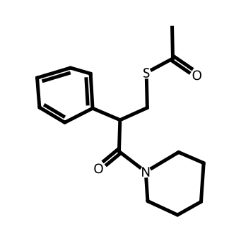 CC(=O)SCC(C(=O)N1CCCCC1)c1ccccc1